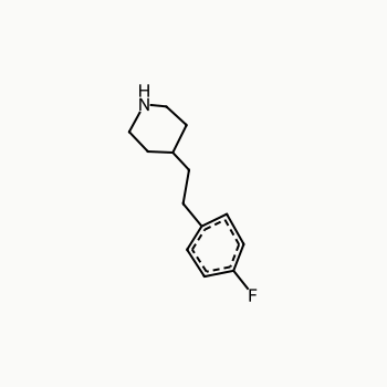 Fc1ccc(CCC2CCNCC2)cc1